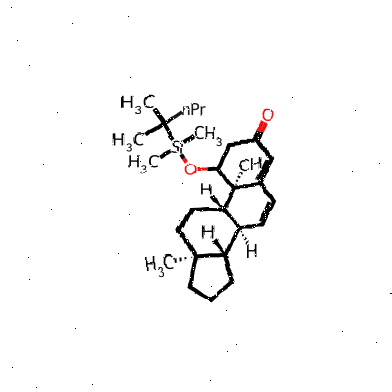 CCCC(C)(C)[Si](C)(C)OC1CC(=O)C=C2C=C[C@H]3[C@@H]4CCC[C@@]4(C)CC[C@@H]3[C@]21C